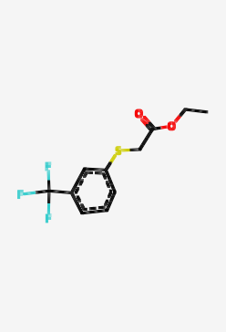 CCOC(=O)CSc1cccc(C(F)(F)F)c1